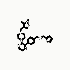 Cc1c(CN2CCN(c3nccnc3-c3ccc(COCc4cccs4)cc3)CC2)cnn1C